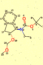 CCN(C(=O)OC(C)(C)C)[C@@H]1c2ccccc2C[C@H]1OCOC